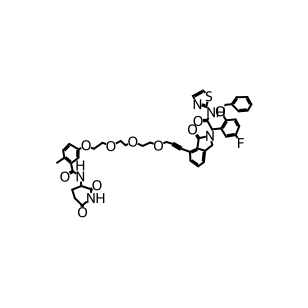 Cc1ccc(OCCOCCOCCOCC#Cc2cccc3c2C(=O)N(C(C(=O)Nc2nccs2)c2cc(F)ccc2OCc2ccccc2)C3)cc1C(=O)NC1CCC(=O)NC1=O